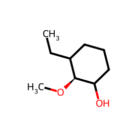 CCC1CCCC(O)[C@H]1OC